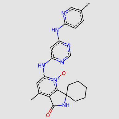 Cc1ccc(Nc2cc(Nc3cc(C)c4c([n+]3[O-])C3(CCCCC3)NC4=O)ncn2)nc1